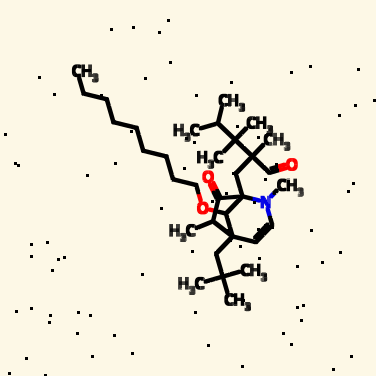 CCCCCCCCCOC1C2(CC(C)(C)C)C=CN(C)C1(CC(C)(C=O)C(C)(C)C(C)C)C(=O)C2C